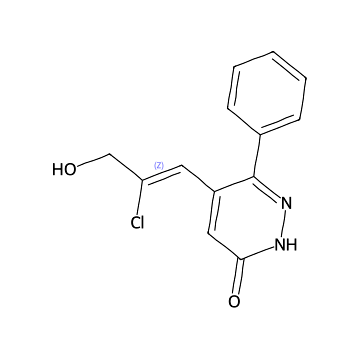 O=c1cc(/C=C(\Cl)CO)c(-c2ccccc2)n[nH]1